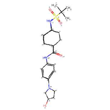 CC(C)(C)S(=O)(=O)NC1CCC(C(=O)Nc2ccc(N3CCC(O)C3)cc2)CC1